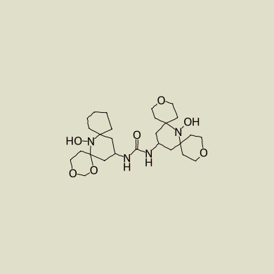 O=C(NC1CC2(CCOCC2)N(O)C2(CCOCC2)C1)NC1CC2(CCCCC2)N(O)C2(CCOCO2)C1